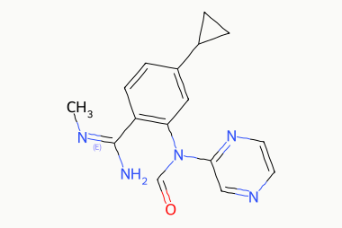 C/N=C(/N)c1ccc(C2CC2)cc1N(C=O)c1cnccn1